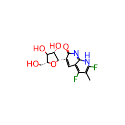 Cc1c(F)[nH]c2nc(=O)c([C@@H]3O[C@H](CO)C(O)[C@@H]3O)cc-2c1F